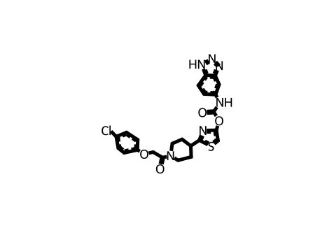 O=C(Nc1ccc2[nH]nnc2c1)Oc1csc(C2CCN(C(=O)COc3ccc(Cl)cc3)CC2)n1